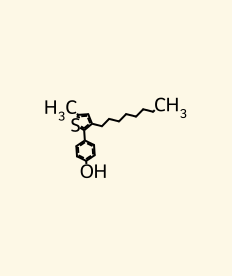 CCCCCCCCc1cc(C)sc1-c1ccc(O)cc1